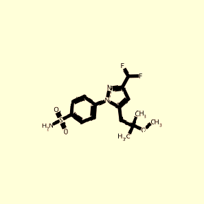 COC(C)(C)Cc1cc(C(F)F)nn1-c1ccc(S(N)(=O)=O)cc1